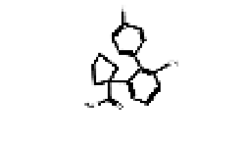 COC(=O)C1(c2cccc(O)c2-c2ccc(F)cc2)CCCC1